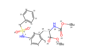 Cc1ccc(NS(=O)(=O)Cc2ccccc2)cc1C[C@H](NC(=O)OC(C)(C)C)C(=O)OC(C)(C)C